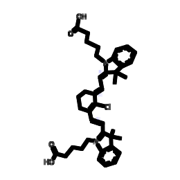 CC1(C)C(/C=C/C2=C(Cl)C(=C/C=C3/N(CCCCC(=O)O)c4ccccc4C3(C)C)/CCC2)=[N+](CCCCC(=O)O)c2ccccc21